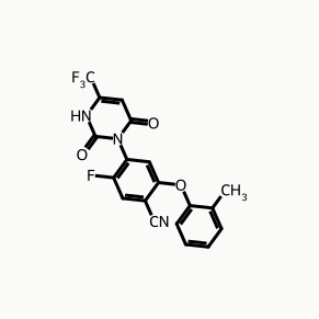 Cc1ccccc1Oc1cc(-n2c(=O)cc(C(F)(F)F)[nH]c2=O)c(F)cc1C#N